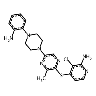 Cc1nc(N2CCN(c3ccccc3N)CC2)[c]nc1Sc1ccnc(N)c1Cl